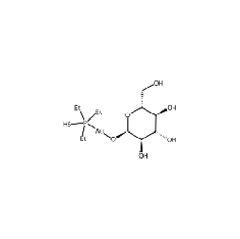 CC[P](S)(CC)(CC)[Au][O][C@H]1O[C@H](CO)[C@@H](O)[C@H](O)[C@H]1O